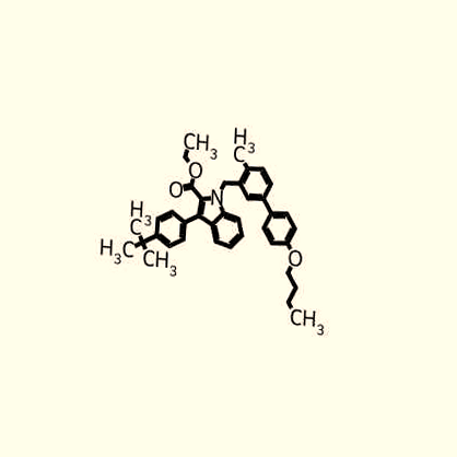 CCCCOc1ccc(-c2ccc(C)c(Cn3c(C(=O)OCC)c(-c4ccc(C(C)(C)C)cc4)c4ccccc43)c2)cc1